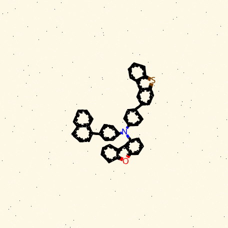 c1ccc2c(-c3ccc(N(c4ccc(-c5ccc6sc7ccccc7c6c5)cc4)c4cccc5oc6ccccc6c45)cc3)cccc2c1